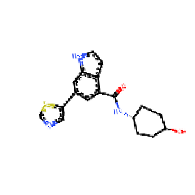 O=C(N[C@H]1CC[C@H](O)CC1)c1cc(-c2cncs2)cc2[nH]ccc12